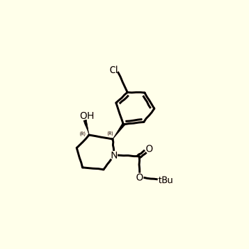 CC(C)(C)OC(=O)N1CCC[C@@H](O)[C@H]1c1cccc(Cl)c1